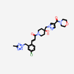 Cc1nnn(Cc2cc(Cl)ccc2C=CC(=O)N2CCC(O)(Cn3cc(C(=O)N4CCOCC4)cn3)CC2)n1